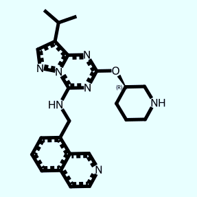 CC(C)c1cnn2c(NCc3cccc4ccncc34)nc(O[C@@H]3CCCNC3)nc12